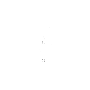 CC1=[N+](CC#N)CCN1C